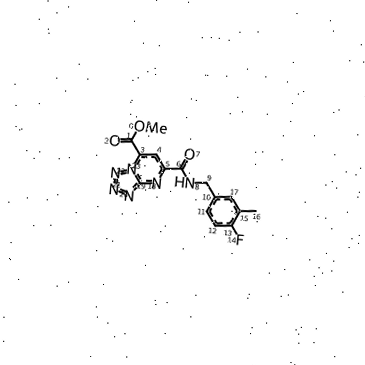 COC(=O)c1cc(C(=O)NCc2ccc(F)c(C)c2)nc2nnnn12